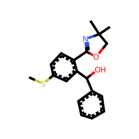 CSc1ccc(C2=NC(C)(C)CO2)c(C(O)c2ccccc2)c1